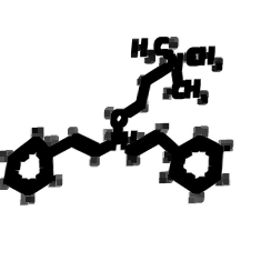 C[N+](C)(C)CCO[PH-](C=Cc1ccccc1)C=Cc1ccccc1